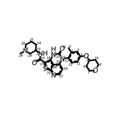 Cc1cc(OC2CCOCC2)ccc1N1C(=O)Nc2c(C(=O)NC3CCCN(C)C3)sc3nccc1c23